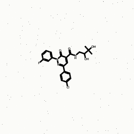 CC(C)(O)C(O)CNC(=O)c1cc(-c2ccc(Cl)cc2)nn(-c2cccc(F)c2)c1=O